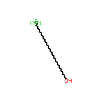 OCCCCCCCCCCCCCCCCCCCCCCCCCCCCCCCCCC[Si](Cl)(Cl)Cl